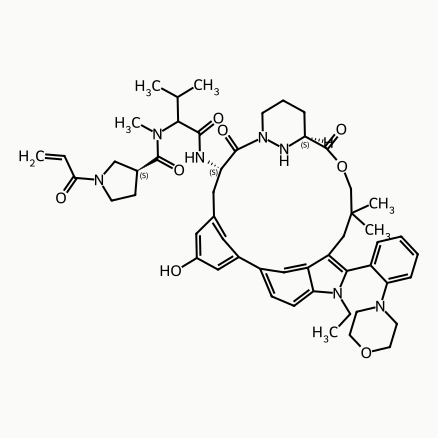 C=CC(=O)N1CC[C@H](C(=O)N(C)C(C(=O)N[C@H]2Cc3cc(O)cc(c3)-c3ccc4c(c3)c(c(-c3ccccc3N3CCOCC3)n4CC)CC(C)(C)COC(=O)[C@@H]3CCCN(N3)C2=O)C(C)C)C1